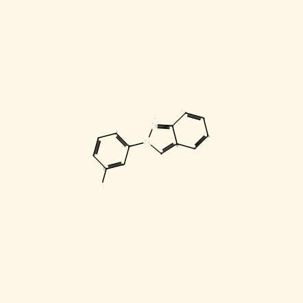 CC(C)(C)c1cccc(-n2cc3ccccc3n2)c1